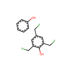 Oc1c(CF)cc(CF)cc1CF.Oc1ccccc1